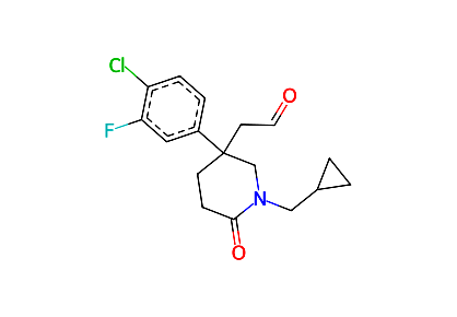 O=CCC1(c2ccc(Cl)c(F)c2)CCC(=O)N(CC2CC2)C1